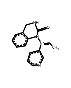 CC=[N+](c1cccnc1)N1C(=O)NCc2ccccc21